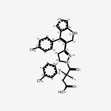 O=C(O)CC(F)(F)C(=O)N1N=C(C2=C(c3ccc(Cl)cc3)c3cscc3NC2)C[C@H]1c1ccc(Cl)cc1